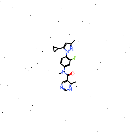 Cc1cc(C2CC2)n(-c2ccc(N(C)C(=O)c3cncnc3C)cc2F)n1